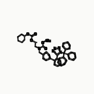 CC(C)(C)OC(=O)N(C[CH]OC(=O)OC1CCCCC1)Cc1ccc(-c2ccccc2-c2nnnn2C(c2ccccc2)(c2ccccc2)c2ccccc2)cc1